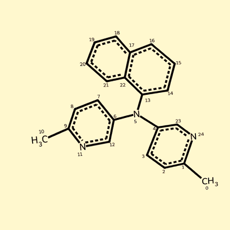 Cc1ccc(N(c2ccc(C)nc2)c2cccc3ccccc23)cn1